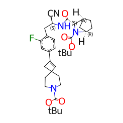 CC(C)(C)OC(=O)N1CCC2(C=C(c3ccc(C[C@@H](C#N)NC(=O)[C@@H]4[C@H]5CC[C@H](C5)N4C(=O)OC(C)(C)C)c(F)c3)C2)CC1